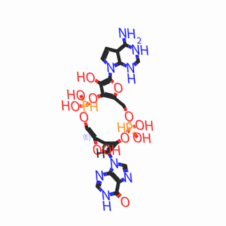 NC1NCNC2C1C=CN2c1oc2c(c1O)O[PH](O)(O)O/C=C1/OC(n3cnc4c(=O)[nH]cnc43)=C(O[PH](O)(O)OC2)[C@@H]1O